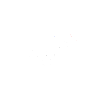 CNCc1cc(C(=O)OC)ccc1-c1ccc2c(-c3ccc(CC(C)C)cc3)cccc2c1